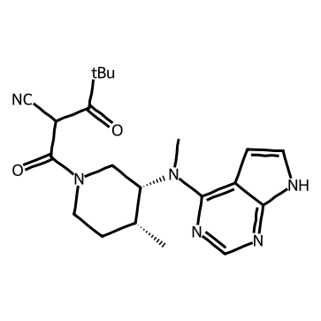 C[C@@H]1CCN(C(=O)C(C#N)C(=O)C(C)(C)C)C[C@@H]1N(C)c1ncnc2[nH]ccc12